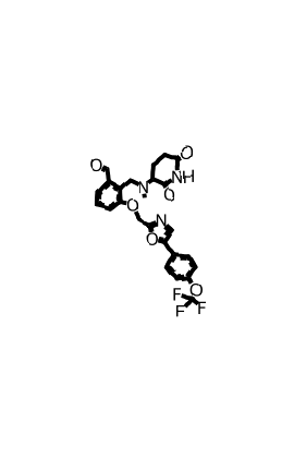 CN(Cc1c(C=O)cccc1OCc1ncc(-c2ccc(OC(F)(F)F)cc2)o1)C1CCC(=O)NC1=O